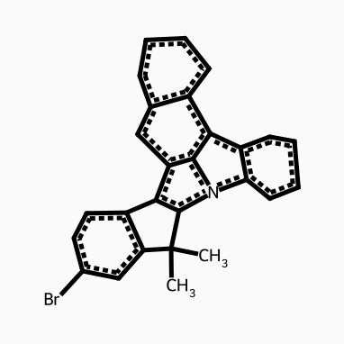 CC1(C)c2cc(Br)ccc2-c2c1n1c3ccccc3c3c4ccccc4cc2c31